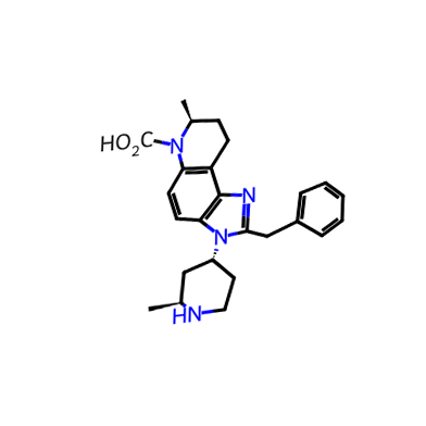 C[C@H]1C[C@H](n2c(Cc3ccccc3)nc3c4c(ccc32)N(C(=O)O)[C@@H](C)CC4)CCN1